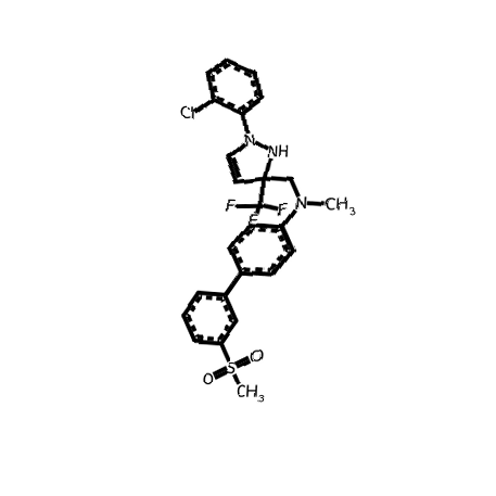 CN(CC1(C(F)(F)F)C=CN(c2ccccc2Cl)N1)c1ccc(-c2cccc(S(C)(=O)=O)c2)cc1